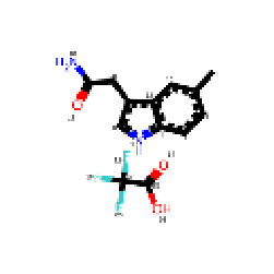 Cc1ccc2[nH]cc(CC(N)=O)c2c1.O=C(O)C(F)(F)F